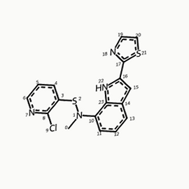 CN(Sc1cccnc1Cl)c1cccc2cc(-c3nccs3)[nH]c12